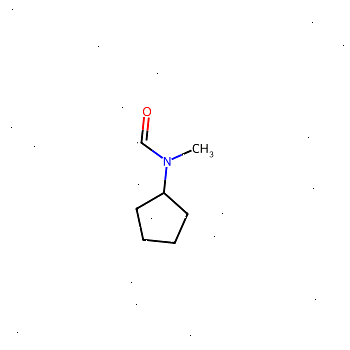 CN([C]=O)C1CCCC1